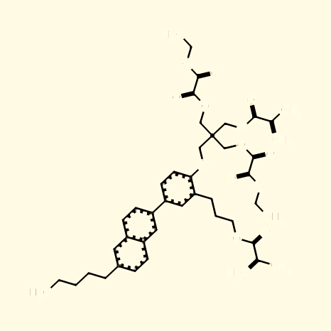 C=C(C)C(=O)OCCCc1cc(-c2ccc3cc(CCCCC)ccc3c2)ccc1OCC(COC(=O)C(=C)C)(COC(=O)C(=O)OCC)COC(=O)C(=O)OCC